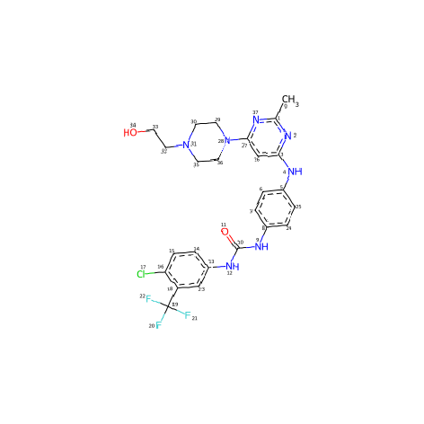 Cc1nc(Nc2ccc(NC(=O)Nc3ccc(Cl)c(C(F)(F)F)c3)cc2)cc(N2CCN(CCO)CC2)n1